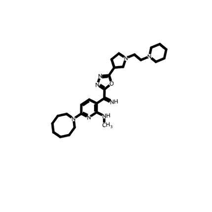 CNc1nc(N2CCCCCCC2)ccc1C(=N)c1nnc(C2CCN(CCN3CCCCC3)C2)o1